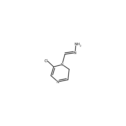 NN=CN1CC=NC=C1Cl